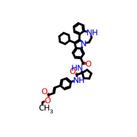 CCOC(=O)/C=C/c1ccc(NC(=O)C2(NC(=O)c3ccc4c(C5CCCCC5)c5n(c4c3)CCNc3ccccc3-5)CCCC2)cc1